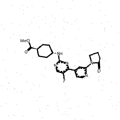 COC(=O)[C@H]1CC[C@H](Nc2ncc(F)c(-c3ccnc(N4CCCC4=O)c3)n2)CC1